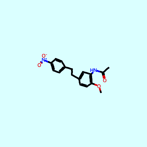 COc1ccc(CCc2ccc([N+](=O)[O-])cc2)cc1NC(C)=O